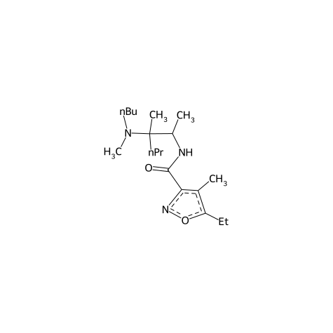 CCCCN(C)C(C)(CCC)C(C)NC(=O)c1noc(CC)c1C